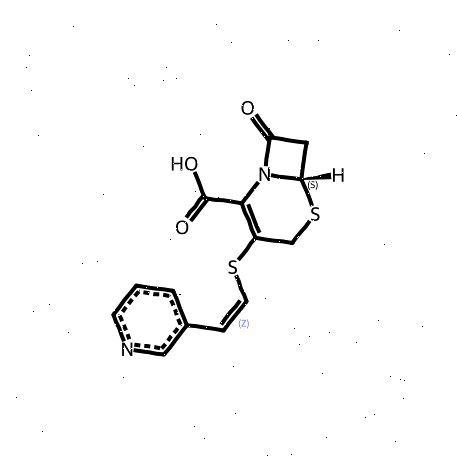 O=C(O)C1=C(S/C=C\c2cccnc2)CS[C@H]2CC(=O)N12